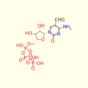 Nc1nc(=O)n([C@@H]2O[C@H](COP(=O)(O)OP(=O)(O)OP(=O)(O)O)C(O)[C@@H]2O)cc1C=O